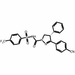 N#Cc1ccc(C2=NN(C(=O)NS(=O)(=O)c3ccc(C(F)(F)F)cc3)C[C@@H]2c2ccccc2)cc1